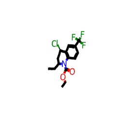 CCOC(=O)N1c2ccc(C(F)(F)F)cc2[C@H](Cl)CC1CC